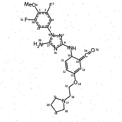 COc1c(F)cc(-n2nc(NC3C=CC(OCCN4CCCC4)=CC3=C=O)nc2N)cc1F